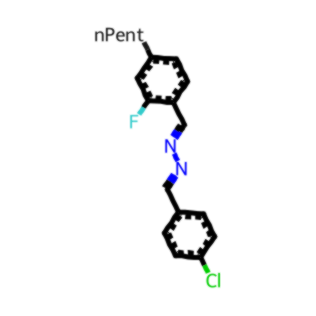 CCCCCc1ccc(/C=N/N=C/c2ccc(Cl)cc2)c(F)c1